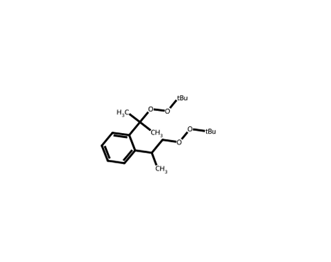 CC(COOC(C)(C)C)c1ccccc1C(C)(C)OOC(C)(C)C